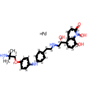 CC(C)(N)COc1ccc(Nc2ccc(CCNC[C@H](O)c3ccc(O)c4c3ccc(=O)n4O)cc2)cc1.[Pd]